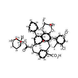 CCCOc1cc([C@H](Cc2c(Cl)c[n+]([O-])cc2Cl)c2cc(CN(C(=O)O[C@H]3CN4CCC3CC4)c3cccc(-c4ccccn4)c3)ccc2C(=O)O)ccc1OC(F)F